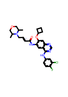 CC1COCC(C)N1C/C=C/C(=O)Nc1cc2c(Nc3ccc(F)c(Cl)c3)ncnc2cc1OC1CCC1